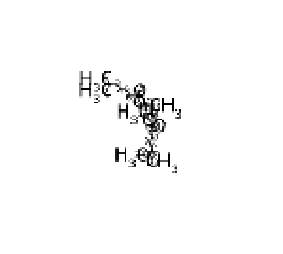 CC(C)CCCCC(=O)OCC(C)(C)COC(=O)CCCCC(C)C